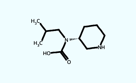 CC(C)CN(C(=O)O)[C@@H]1CCCNC1